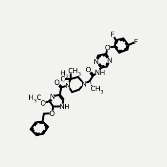 COC1=NC(C(=O)N2CCN([C@@H](C)C(=O)Nc3cnc(Oc4ccc(F)cc4F)cn3)CC2(C)C)=CNC1OCc1ccccc1